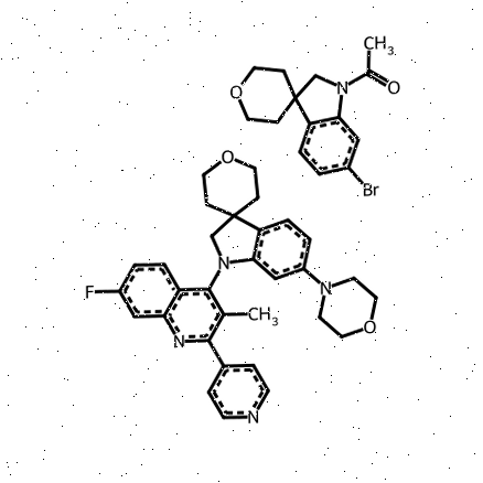 CC(=O)N1CC2(CCOCC2)c2ccc(Br)cc21.Cc1c(-c2ccncc2)nc2cc(F)ccc2c1N1CC2(CCOCC2)c2ccc(N3CCOCC3)cc21